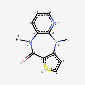 CCN1C(=O)c2sccc2N(C)c2ncccc21